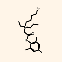 CCC[N+](CC)(CCCCBr)CC(=O)Nc1c(C)cc(F)cc1C